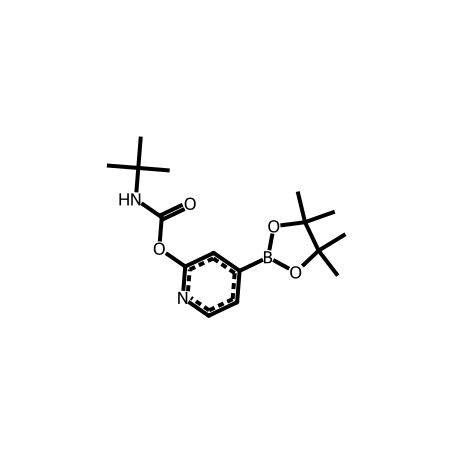 CC(C)(C)NC(=O)Oc1cc(B2OC(C)(C)C(C)(C)O2)ccn1